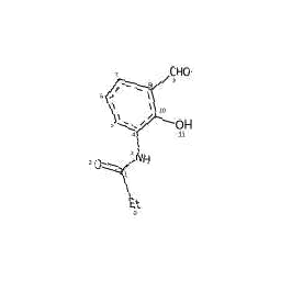 CCC(=O)Nc1cccc([C]=O)c1O